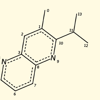 Cc1cc2ncccc2nc1C(C)C